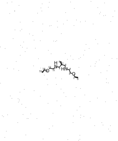 C=COCCNCC(=C)CNCCOC=C